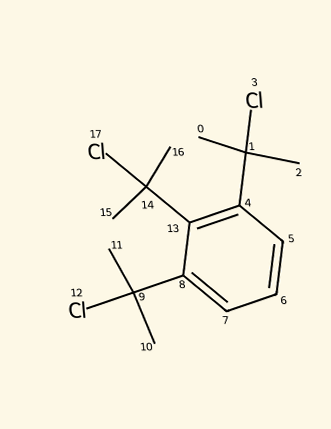 CC(C)(Cl)c1cccc(C(C)(C)Cl)c1C(C)(C)Cl